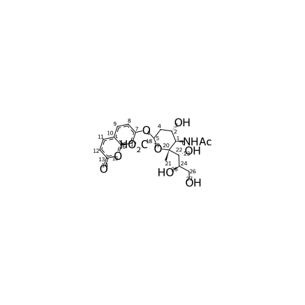 CC(=O)N[C@@H]1[C@@H](O)C[C@@](Oc2ccc3ccc(=O)oc3c2)(C(=O)O)O[C@@]1(C)[C@H](O)[C@H](O)CO